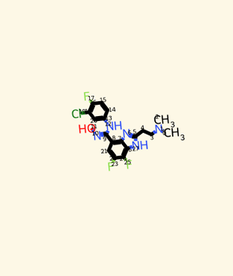 CN(C)CCc1nc2c(/C(=N/O)Nc3ccc(F)c(Cl)c3)cc(F)c(F)c2[nH]1